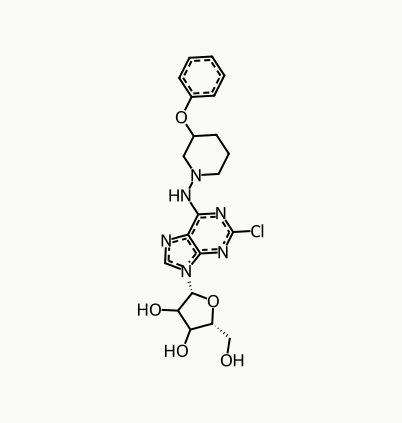 OC[C@H]1O[C@@H](n2cnc3c(NN4CCCC(Oc5ccccc5)C4)nc(Cl)nc32)C(O)C1O